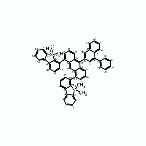 C[Si]1(C)c2ccccc2-c2cccc(-c3cccc4c(-c5cc(-c6ccccc6)c6ccccc6c5)c5cccc(-c6cccc7c6[Si](C)(C)c6ccccc6-7)c5cc34)c21